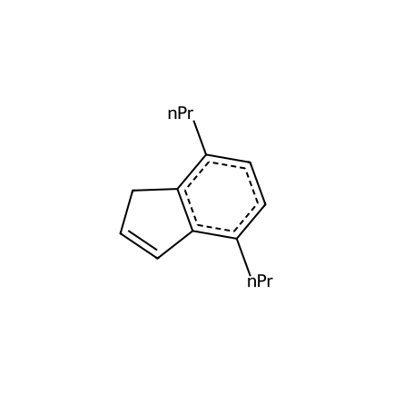 CCCc1ccc(CCC)c2c1C=CC2